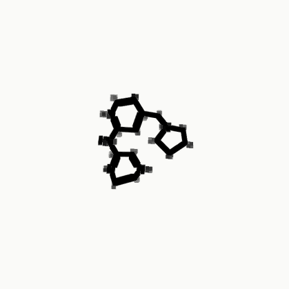 c1cnc(Nc2cc(CN3CCCC3)ccn2)cn1